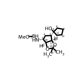 COBN[C@@H]1C[C@H](C2(O)CCCC2)[C@H]2OC(C)(C)O[C@H]21